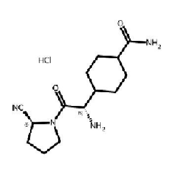 Cl.N#C[C@@H]1CCCN1C(=O)[C@@H](N)C1CCC(C(N)=O)CC1